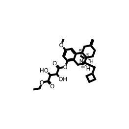 C=C1CC[C@H]2[C@H]3Cc4c(OC(=O)C(O)C(O)C(=O)OCC)cc(OC)cc4[C@@]2(CCN3CC2CCC2)C1